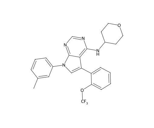 Cc1cccc(-n2cc(-c3ccccc3OC(F)(F)F)c3c(NC4CCOCC4)ncnc32)c1